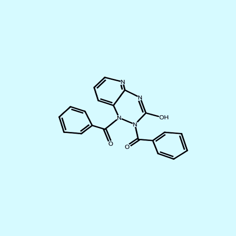 O=C(c1ccccc1)N1C(O)=Nc2ncccc2N1C(=O)c1ccccc1